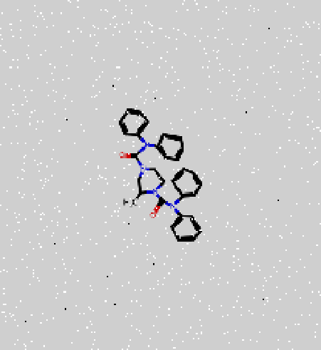 CC1CN(C(=O)N(c2ccccc2)c2ccccc2)CCN1C(=O)N(c1ccccc1)c1ccccc1